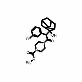 CC(C)(C)OC(=O)N1CCN(C(=O)C(c2cccc(Br)c2)C2(O)C3CC4CC(C3)CC2C4)CC1